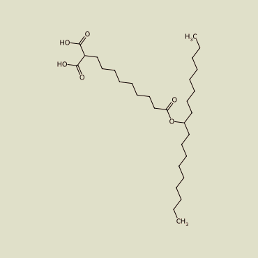 CCCCCCCCCC(CCCCCCCC)OC(=O)CCCCCCCCC(C(=O)O)C(=O)O